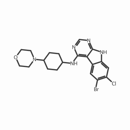 Clc1cc2[nH]c3ncnc(NC4CCC(N5CCOCC5)CC4)c3c2cc1Br